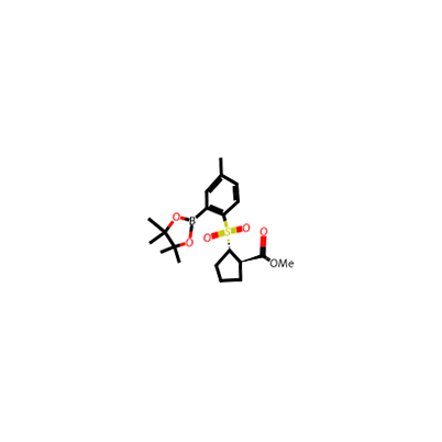 COC(=O)[C@H]1CCC[C@@H]1S(=O)(=O)c1ccc(C)cc1B1OC(C)(C)C(C)(C)O1